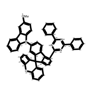 COc1ccc2c(c1)c1ccccc1n2-c1ccc2c(c1)C1(c3ccccc3Oc3ccccc31)c1cccc(-c3nc(-c4ccccc4)nc(-c4ccccc4)n3)c1-2